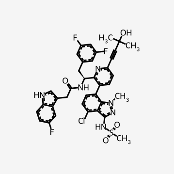 Cn1nc(NS(C)(=O)=O)c2c(Cl)ccc(-c3ccc(C#CC(C)(C)O)nc3[C@H](Cc3cc(F)cc(F)c3)NC(=O)Cc3c[nH]c4ccc(F)cc34)c21